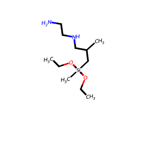 CCO[Si](C)(CC(C)CNCCN)OCC